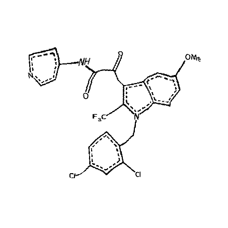 COc1ccc2c(c1)c(C(=O)C(=O)Nc1ccncc1)c(C(F)(F)F)n2Cc1ccc(Cl)cc1Cl